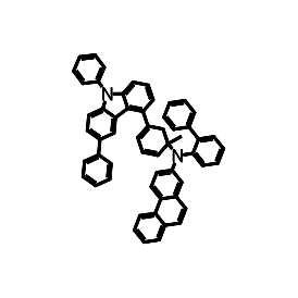 CC1(N(c2ccc3c(ccc4ccccc43)c2)c2ccccc2-c2ccccc2)C=CC=C(c2cccc3c2c2cc(-c4ccccc4)ccc2n3-c2ccccc2)C1